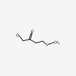 CSCCC(=O)CCl